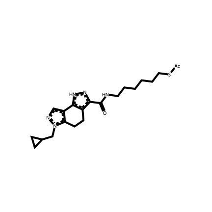 CC(=O)SCCCCCCNC(=O)c1n[nH]c2c1CCc1c-2cnn1CC1CC1